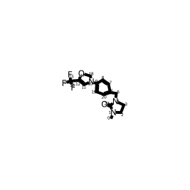 CN1CCN(Cc2ccc(N3C=C(C(F)(F)F)OC3)cc2)C1=O